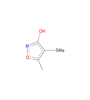 CSc1c(O)noc1C